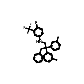 Cc1cccc(C(CNc2ccc(F)c(C(F)(F)F)c2)(Cc2ccccc2)c2cccc(C)c2)c1